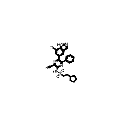 N#Cc1nc(-c2cc(Cl)c3[nH]ncc3c2)c(-c2ccccc2)nc1NS(=O)(=O)CCC1CCCC1